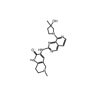 CN1CCc2c(cc(Nc3ncc4ccnc(N5CCC(C)(O)C5)c4n3)c(=O)n2C)C1